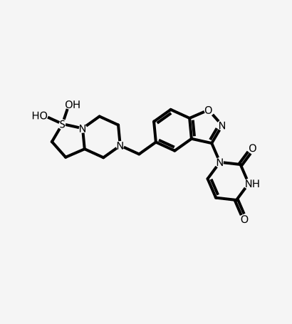 O=c1ccn(-c2noc3ccc(CN4CCN5C(CCS5(O)O)C4)cc23)c(=O)[nH]1